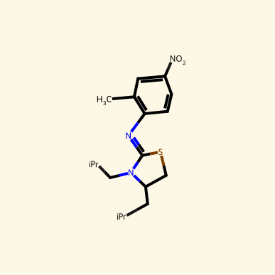 Cc1cc([N+](=O)[O-])ccc1N=C1SCC(CC(C)C)N1CC(C)C